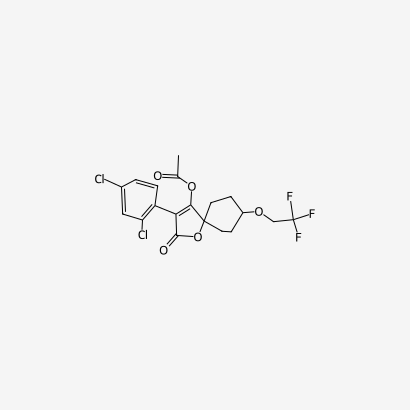 CC(=O)OC1=C(c2ccc(Cl)cc2Cl)C(=O)OC12CCC(OCC(F)(F)F)CC2